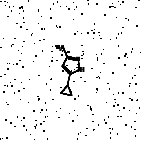 Bc1cc(C2CC2)[nH]n1